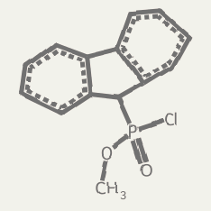 COP(=O)(Cl)C1c2ccccc2-c2ccccc21